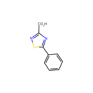 O=C(O)c1nsc(-c2ccccc2)n1